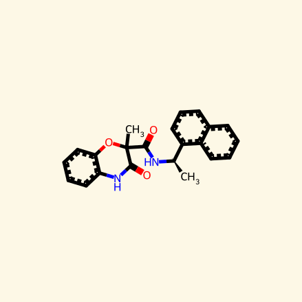 C[C@@H](NC(=O)C1(C)Oc2ccccc2NC1=O)c1cccc2ccccc12